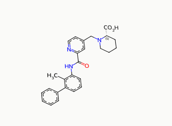 Cc1c(NC(=O)c2cc(CN3CCCC[C@H]3C(=O)O)ccn2)cccc1-c1ccccc1